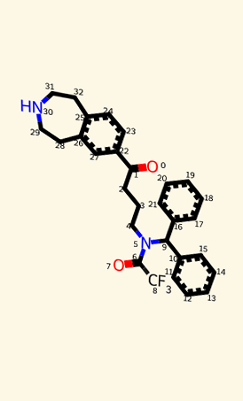 O=C(CCCN(C(=O)C(F)(F)F)C(c1ccccc1)c1ccccc1)c1ccc2c(c1)CCNCC2